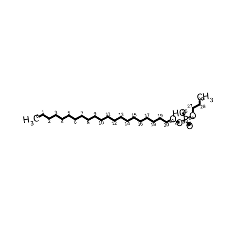 CCCCCCCCCCCCCCCCCCCCCOOP(=O)(O)OCCC